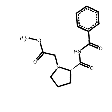 COC(=O)CN1CCC[C@H]1C(=O)NC(=O)c1ccccc1